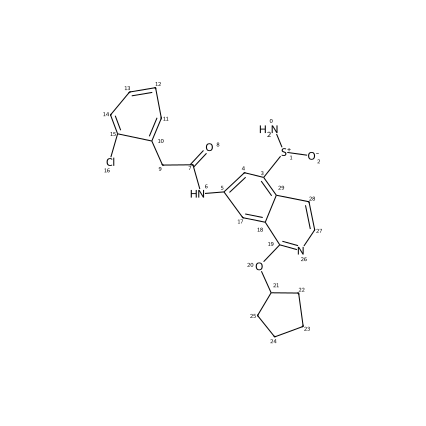 N[S+]([O-])c1cc(NC(=O)Cc2ccccc2Cl)cc2c(OC3CCCC3)nccc12